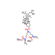 CC[C@H](CC[C@@H](C)[C@H]1CC[C@H]2[C@@H]3CC=C4C[C@@H](OC(=O)N(CCCCN(C)C(=O)OC(C)(C)C)CCCN(C)C(=O)OC(C)(C)C)CCC4(C)[C@H]3CC[C@]12C)C(C)C